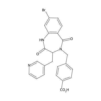 O=C(O)c1ccc(CN2C(=O)c3ccc(Br)cc3NC(=O)C2Cc2cccnc2)cc1